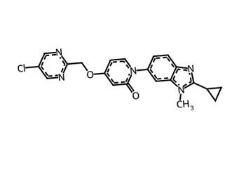 Cn1c(C2CC2)nc2ccc(-n3ccc(OCc4ncc(Cl)cn4)cc3=O)cc21